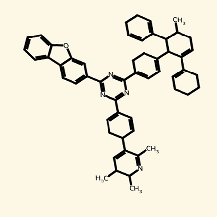 CC1=NC(C)C(C)C=C1C1C=CC(c2nc(C3=CC=C(C4C(C5=CCCCC5)=CCC(C)C4C4=CCCC=C4)CC3)nc(-c3ccc4c(c3)oc3ccccc34)n2)=CC1